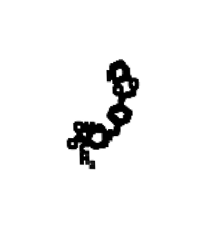 COC(=O)C1(C)CCN(Cc2ccc(C3COc4cccnc4O3)cc2)CC1